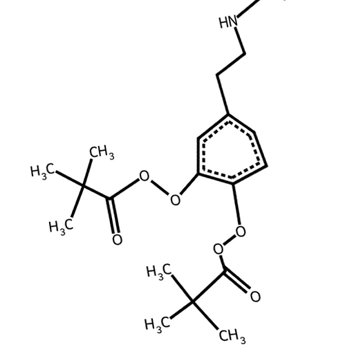 CNCCc1ccc(OOC(=O)C(C)(C)C)c(OOC(=O)C(C)(C)C)c1